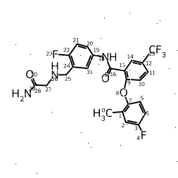 Cc1cc(F)ccc1Oc1ccc(C(F)(F)F)cc1C(=O)Nc1ccc(F)c(CNCC(N)=O)c1